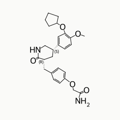 COc1ccc([C@H]2CNC(=O)[C@@H](Cc3ccc(OCC(N)=O)cc3)C2)cc1OC1CCCC1